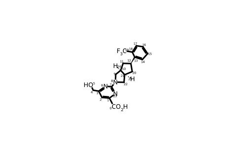 O=C(O)c1cc(CO)nc(N2C[C@H]3C[C@@H](c4ccccc4C(F)(F)F)C[C@H]3C2)n1